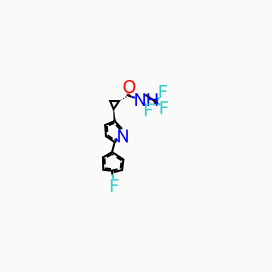 O=C(NCC(F)(F)F)[C@H]1C[C@@H]1c1ccc(-c2ccc(F)cc2)nc1